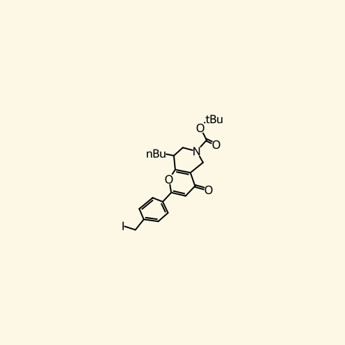 CCCCC1CN(C(=O)OC(C)(C)C)Cc2c1oc(-c1ccc(CI)cc1)cc2=O